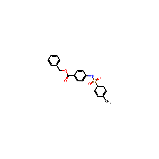 Cc1ccc(S(=O)(=O)Nc2ccc(C(=O)OCc3ccccc3)cc2)cc1